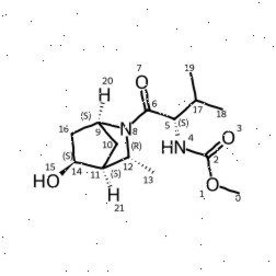 COC(=O)N[C@H](C(=O)N1[C@H]2C[C@@H]([C@H]1C)[C@@H](O)C2)C(C)C